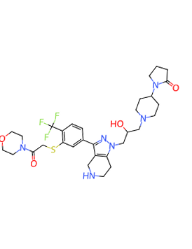 O=C(CSc1cc(-c2nn(CC(O)CN3CCC(N4CCCC4=O)CC3)c3c2CNCC3)ccc1C(F)(F)F)N1CCOCC1